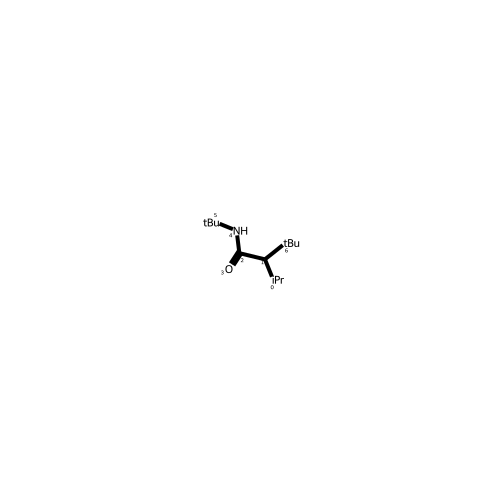 CC(C)C(C(=O)NC(C)(C)C)C(C)(C)C